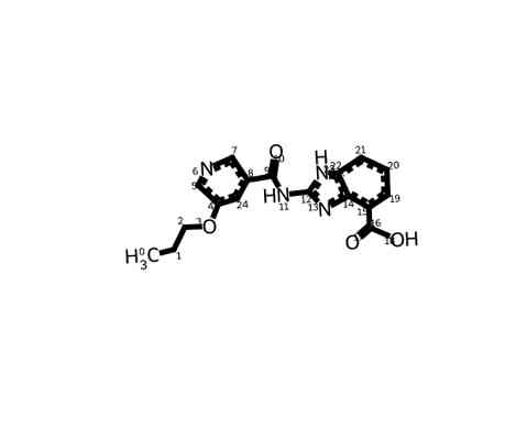 CCCOc1cncc(C(=O)Nc2nc3c(C(=O)O)cccc3[nH]2)c1